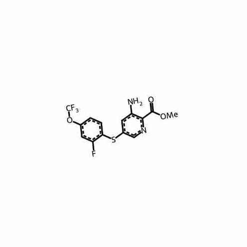 COC(=O)c1ncc(Sc2ccc(OC(F)(F)F)cc2F)cc1N